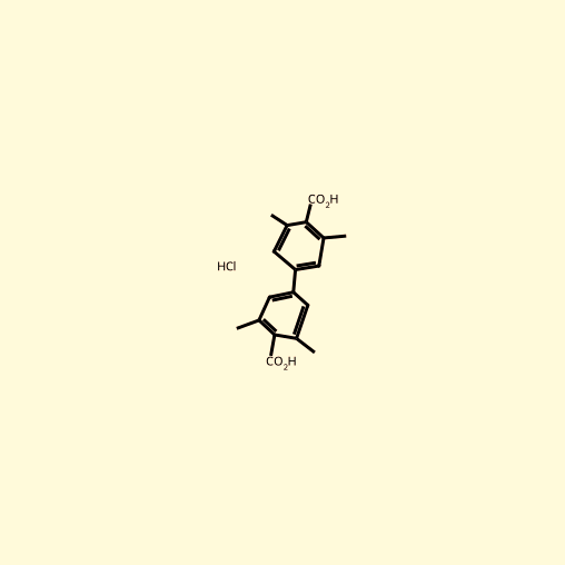 Cc1cc(-c2cc(C)c(C(=O)O)c(C)c2)cc(C)c1C(=O)O.Cl